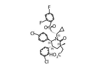 C[C@@]1(CC(=O)O)C[C@H](c2cccc(Cl)c2)[C@@H](c2ccc(Cl)cc2)N([C@H](CS(=O)(=O)c2ccc(F)cc2F)C2CC2)C1=O